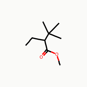 CCC(C(=O)OC)C(C)(C)C